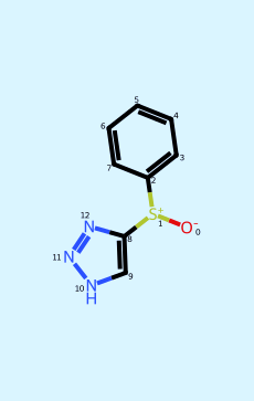 [O-][S+](c1ccccc1)c1c[nH]nn1